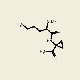 CC(=O)NC(CCCN)C(=O)NC1(C(N)=O)CC1